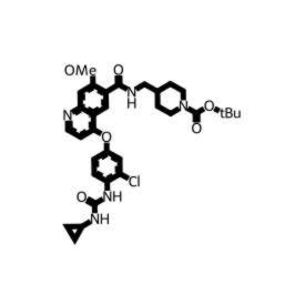 COc1cc2nccc(Oc3ccc(NC(=O)NC4CC4)c(Cl)c3)c2cc1C(=O)NCC1CCN(C(=O)OC(C)(C)C)CC1